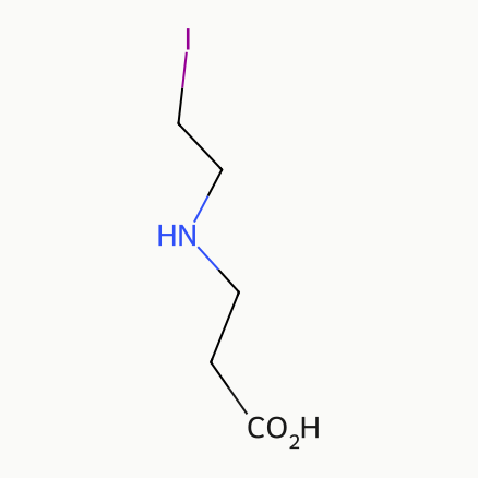 O=C(O)CCNCCI